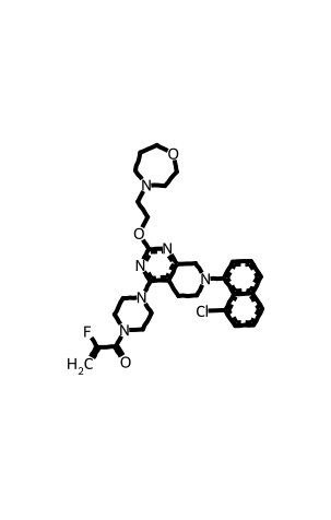 C=C(F)C(=O)N1CCN(c2nc(OCCN3CCCOCC3)nc3c2CCN(c2cccc4cccc(Cl)c24)C3)CC1